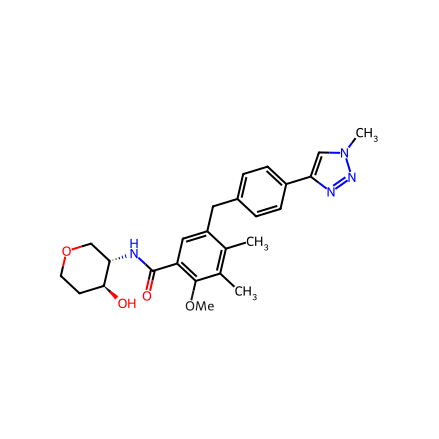 COc1c(C(=O)N[C@H]2COCC[C@@H]2O)cc(Cc2ccc(-c3cn(C)nn3)cc2)c(C)c1C